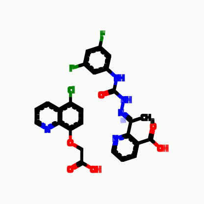 C/C(=N\NC(=O)Nc1cc(F)cc(F)c1)c1ncccc1C(=O)O.O=C(O)COc1ccc(Cl)c2cccnc12